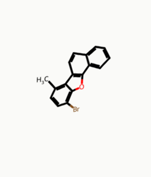 Cc1ccc(Br)c2oc3c4ccccc4ccc3c12